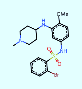 COc1ccc(NS(=O)(=O)c2ccccc2Br)cc1NC1CCN(C)CC1